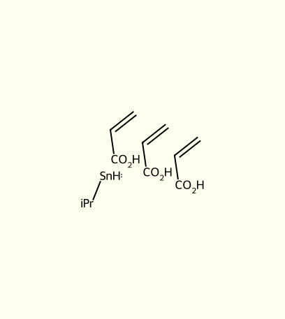 C=CC(=O)O.C=CC(=O)O.C=CC(=O)O.C[CH](C)[SnH]